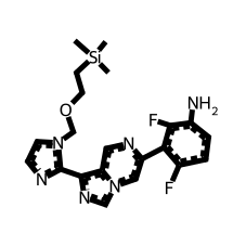 C[Si](C)(C)CCOCn1ccnc1-c1ncn2cc(-c3c(F)ccc(N)c3F)ncc12